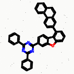 c1ccc(-c2nc(-c3ccccc3)nc(-c3ccc4c(c3)oc3cccc(-c5ccc6c(ccc7ccccc76)c5)c34)n2)cc1